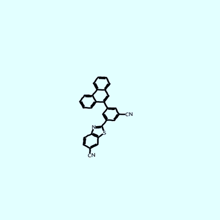 N#Cc1cc(-c2nc3ccc(C#N)cc3s2)cc(-c2cc3ccccc3c3ccccc23)c1